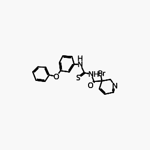 O=C(NC(=S)Nc1cccc(Oc2ccccc2)c1)C1(Br)C=CC=NC1